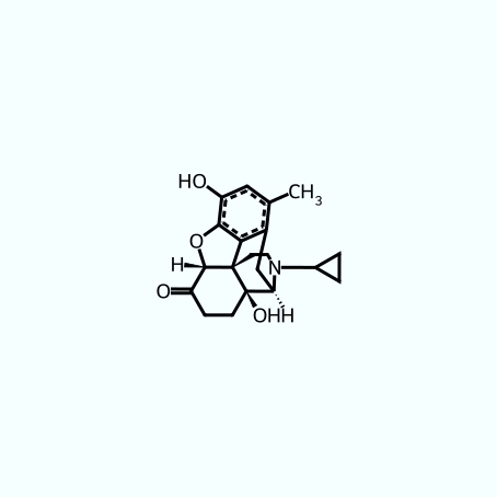 Cc1cc(O)c2c3c1C[C@H]1N(C4CC4)CC[C@@]34[C@@H](O2)C(=O)CC[C@@]14O